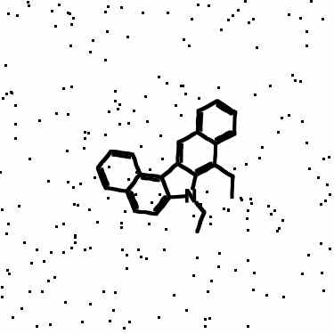 CCc1c2ccccc2cc2c3c4ccccc4ccc3n(CC)c12